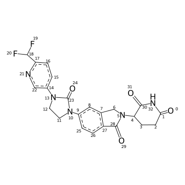 O=C1CCC(N2Cc3cc(N4CCN(c5ccc(C(F)F)nc5)C4=O)ccc3C2=O)C(=O)N1